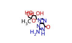 C[C@]1(CO)O[C@@H](n2cnc3c(=O)[nH]c(N)nc32)[C@@H](O)C1O